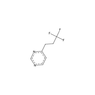 FC(F)(F)CCc1ccncn1